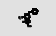 CCCCc1nc2nc(Cc3ccccc3)nc(N)c2[nH]1